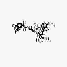 CC(C)N(CCCNC(=O)Nc1ccc(Cl)c(C(F)(F)F)c1)C[C@H]1O[C@@H](n2cnc3c(N)ncnc32)C2OC(C)(C)O[C@@H]21